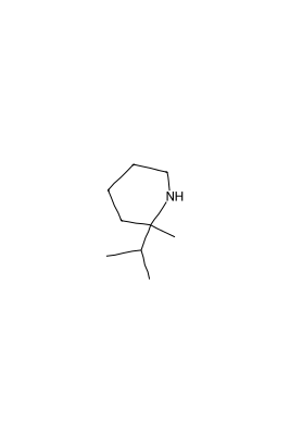 CC(C)C1(C)CCCCN1